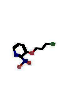 O=[N+]([O-])c1ncccc1OCCCBr